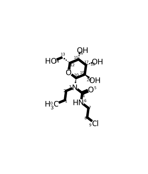 CCCN(C(=O)NCCCl)[C@@H]1O[C@H](CO)[C@H](O)[C@H](O)[C@H]1O